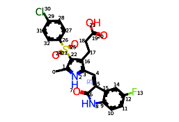 Cc1[nH]c(/C=C2\C(=O)Nc3ccc(F)cc32)c(CCC(=O)O)c1S(=O)(=O)c1ccc(Cl)cc1